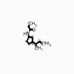 C=CC(=O)NC1CCC(C(C)CC)C1